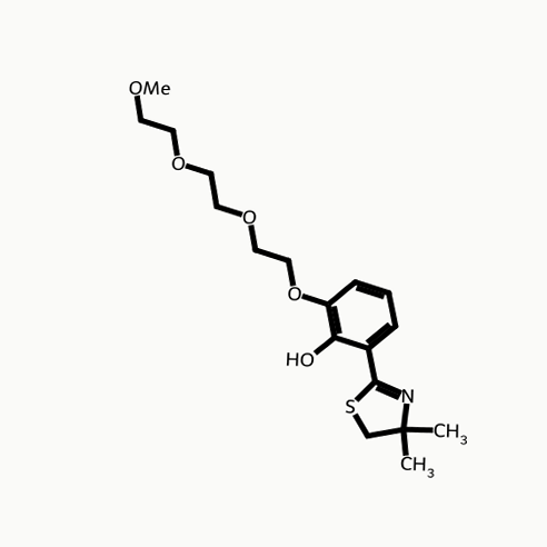 COCCOCCOCCOc1cccc(C2=NC(C)(C)CS2)c1O